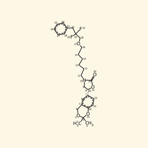 CC1(C)OCc2cc([C@@H]3CN(CCCCCCOCC(F)(F)Cc4ccccc4)C(=O)O3)ccc2O1